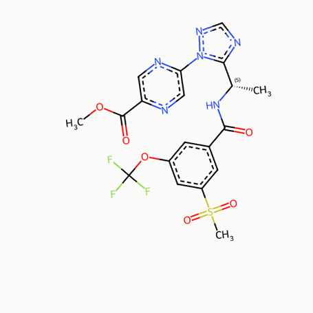 COC(=O)c1cnc(-n2ncnc2[C@H](C)NC(=O)c2cc(OC(F)(F)F)cc(S(C)(=O)=O)c2)cn1